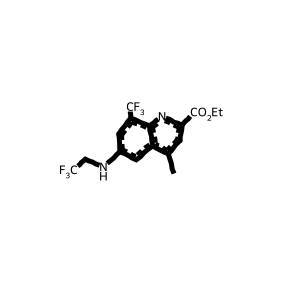 CCOC(=O)c1cc(C)c2cc(NCC(F)(F)F)cc(C(F)(F)F)c2n1